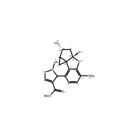 CCCN1OC=C(C(=O)OC)C1c1ccc(OC)c2c1C13CC1[C@H](O)C[C@@H]3O2